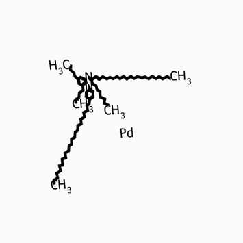 CCCCCCCCCCCCCCCCCCCCCC=CC(=Nc1cc(CCCCC)cc(CCCCC)c1)C(CCCCCCCC)=Nc1ccc(CCCCCCCCCCCCCCCCCCCCCCCCC)cc1.[Pd]